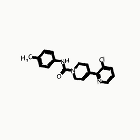 Cc1ccc(NC(=O)N2CC=C(c3ncccc3Cl)CC2)cc1